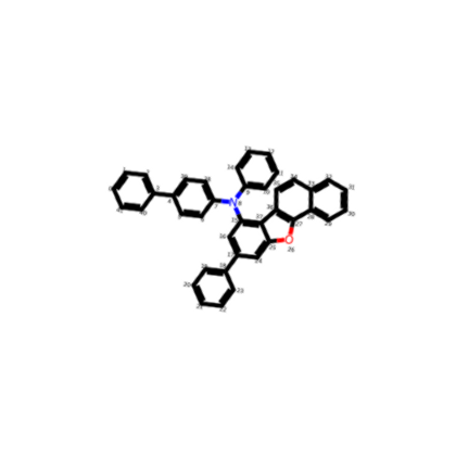 c1ccc(-c2ccc(N(c3ccccc3)c3cc(-c4ccccc4)cc4oc5c6ccccc6ccc5c34)cc2)cc1